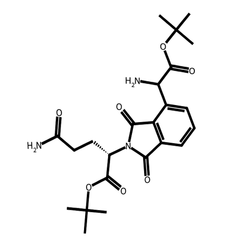 CC(C)(C)OC(=O)C(N)c1cccc2c1C(=O)N([C@@H](CCC(N)=O)C(=O)OC(C)(C)C)C2=O